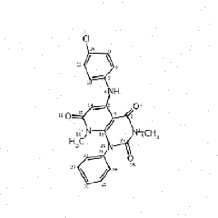 Cn1c(=O)c2c(Nc3ccc(Cl)cc3)cc(=O)n(C)c2n(-c2ccccc2)c1=O